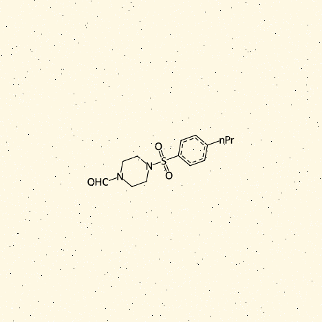 CCCc1ccc(S(=O)(=O)N2CCN(C=O)CC2)cc1